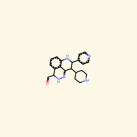 O=CC1NN=C2c3c(cccc31)NC(c1ccncc1)C2C1CCNCC1